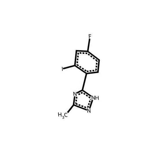 Cc1n[nH]c(-c2ccc(F)cc2I)n1